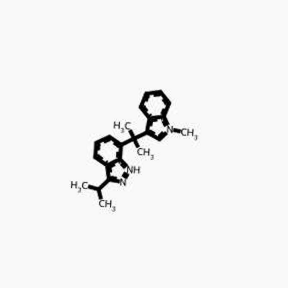 CC(C)c1n[nH]c2c(C(C)(C)c3cn(C)c4ccccc34)cccc12